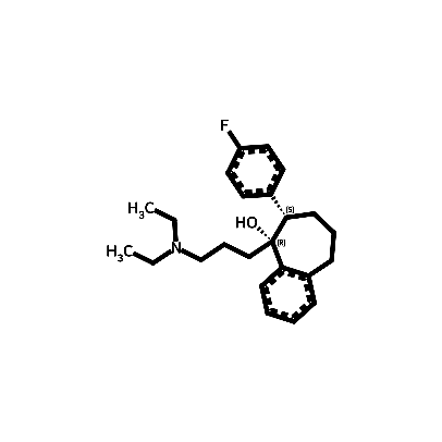 CCN(CC)CCC[C@]1(O)c2ccccc2CCC[C@H]1c1ccc(F)cc1